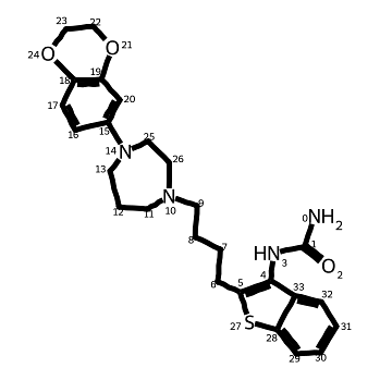 NC(=O)Nc1c(CCCCN2CCCN(c3ccc4c(c3)OCCO4)CC2)sc2ccccc12